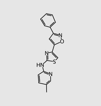 Cc1ccc(Nc2nc(-c3cc(-c4ccccc4)no3)cs2)nc1